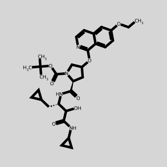 CCOc1ccc2c(OC3C[C@@H](C(=O)N[C@@H](CC4CC4)C(O)C(=O)NC4CC4)N(C(=O)OC(C)(C)C)C3)nccc2c1